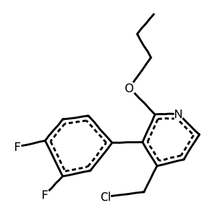 CCCOc1nccc(CCl)c1-c1ccc(F)c(F)c1